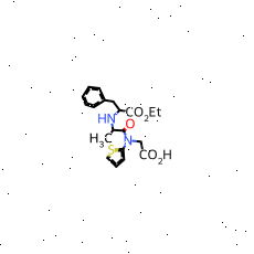 CCOC(=O)C(Cc1ccccc1)NC(C)C(=O)N(CC(=O)O)c1cccs1